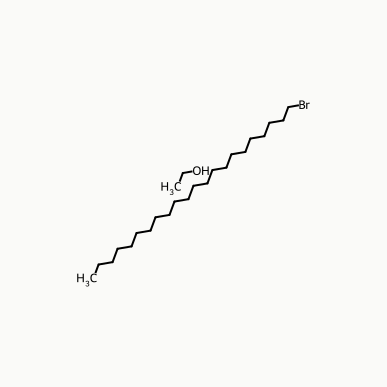 CCCCCCCCCCCCCCCCCCCCCCBr.CCO